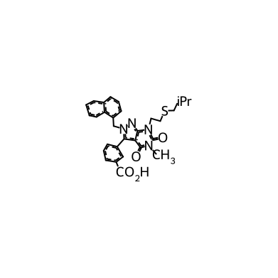 CC(C)CSCCn1c(=O)n(C)c(=O)c2c(-c3cccc(C(=O)O)c3)n(Cc3cccc4ccccc34)nc21